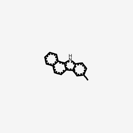 Cc1ccc2[nH]c3c4ccccc4ccc3c2c1